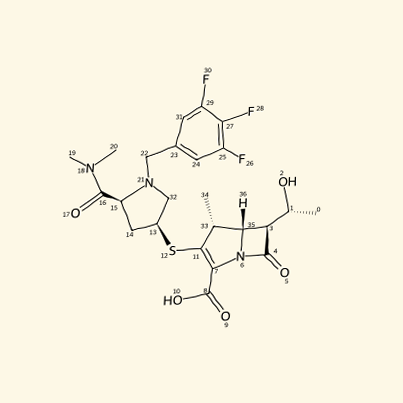 C[C@@H](O)[C@H]1C(=O)N2C(C(=O)O)=C(S[C@H]3C[C@@H](C(=O)N(C)C)N(Cc4cc(F)c(F)c(F)c4)C3)[C@H](C)[C@H]12